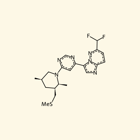 CSC[C@H]1C[C@@H](C)CN(c2cc(-c3cnc4ccc(C(F)F)nn34)ncn2)[C@H]1C